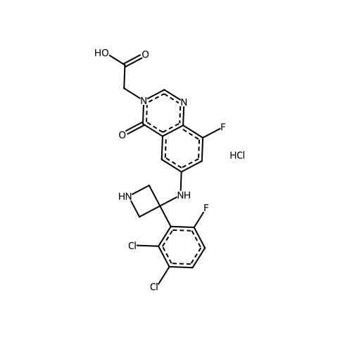 Cl.O=C(O)Cn1cnc2c(F)cc(NC3(c4c(F)ccc(Cl)c4Cl)CNC3)cc2c1=O